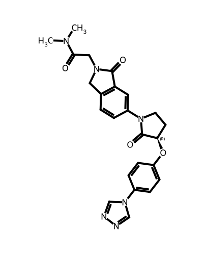 CN(C)C(=O)CN1Cc2ccc(N3CC[C@@H](Oc4ccc(-n5cnnc5)cc4)C3=O)cc2C1=O